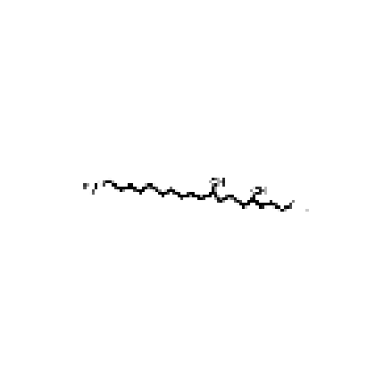 CCCCCCCCCCCC(O)CCCC(O)CCCC